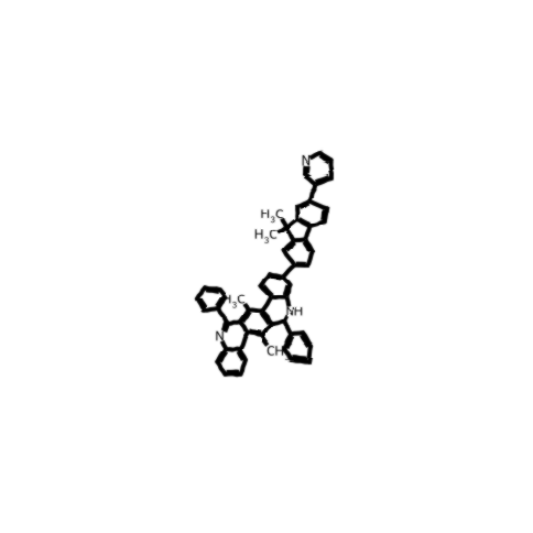 Cc1c2c(c(C)c3c1c(-c1ccccc1)nc1ccccc13)C(c1ccccc1)Nc1cc(-c3ccc4c(c3)C(C)(C)c3cc(-c5cccnc5)ccc3-4)ccc1-2